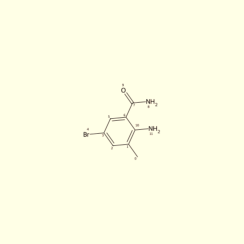 Cc1cc(Br)cc(C(N)=O)c1N